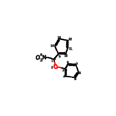 O=[N+]([O-])[C](Oc1ccccc1)c1ccccc1